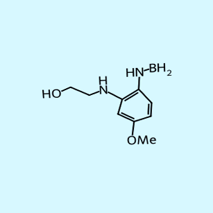 BNc1ccc(OC)cc1NCCO